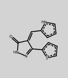 O=C1NN=C(c2cccs2)/C1=C\c1ccc[nH]1